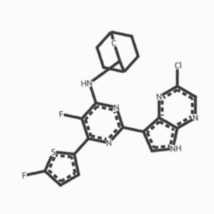 Fc1ccc(-c2nc(-c3c[nH]c4ncc(Cl)nc34)nc(NC3CC4CCC3CC4)c2F)s1